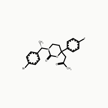 CC(=O)CC1(c2ccc(F)cc2)CCN([C@@H](C)c2ccc(Br)cc2)C(=O)O1